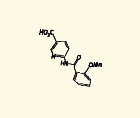 COc1ccccc1C(=O)Nc1ccc(C(=O)O)cn1